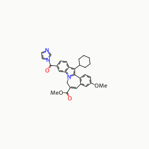 COC(=O)C1=Cc2cc(OC)ccc2-c2c(C3CCCCC3)c3ccc(C(=O)n4ccnc4)cc3n2C1